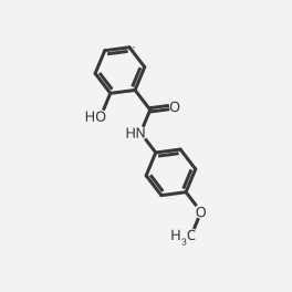 COc1ccc(NC(=O)c2c[c]ccc2O)cc1